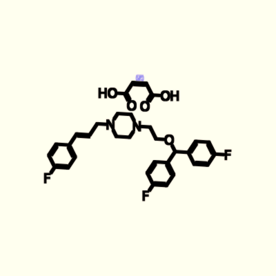 Fc1ccc(C=CCN2CCN(CCOC(c3ccc(F)cc3)c3ccc(F)cc3)CC2)cc1.O=C(O)/C=C\C(=O)O